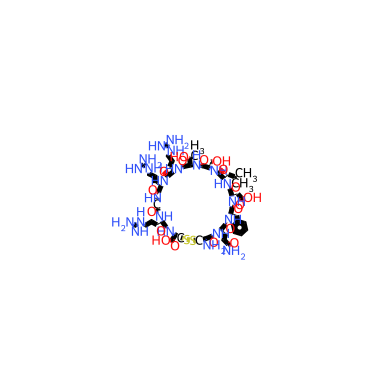 CC(C)C[C@@H]1NC(=O)[C@H](CC(=O)O)NC(=O)[C@H](Cc2ccccc2)NC(=O)[C@H](CCC(N)=O)NC(=O)[C@@H](N)CSSCC(C(=O)O)NC(=O)[C@H](CCCNC(=N)N)NC(=O)CNC(=O)[C@H](CCCNC(=N)N)NC(=O)[C@H](CCCNC(=N)N)NC(=O)[C@H]([C@@H](C)O)NC(=O)[C@H](CO)NC1=O